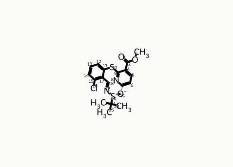 COC(=O)c1cccnc1Sc1cccc(Cl)c1/C=N/[S+]([O-])C(C)(C)C